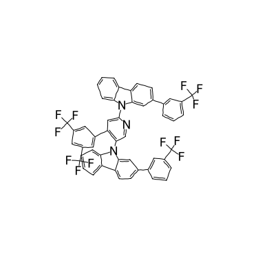 FC(F)(F)c1cccc(-c2ccc3c4ccccc4n(-c4cc(-c5cc(C(F)(F)F)cc(C(F)(F)F)c5)c(-n5c6ccccc6c6ccc(-c7cccc(C(F)(F)F)c7)cc65)cn4)c3c2)c1